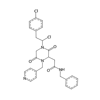 O=C(CC1C(=O)N(C(Cl)Cc2ccc(Cl)cc2)CC(=O)N1Cc1ccncc1)NCc1ccccc1